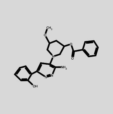 COC1CC(OC(=O)c2ccccc2)CN(c2cc(-c3ccccc3O)nnc2N)C1